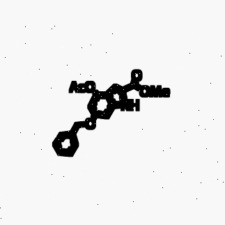 COC(=O)c1cc2c(OC(C)=O)cc(OCc3ccccc3)cc2[nH]1